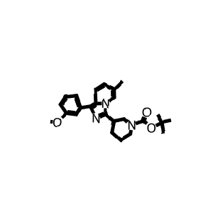 COc1cccc(-c2nc(C3CCCN(C(=O)OC(C)(C)C)C3)n3cc(C)ccc23)c1